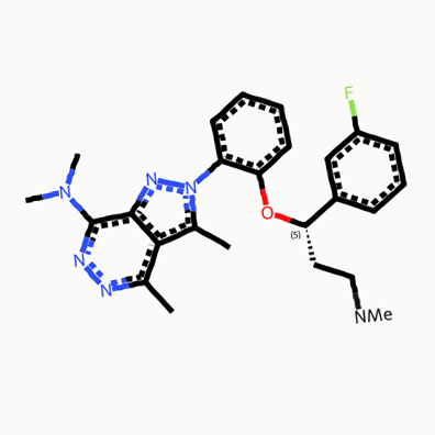 CNCC[C@H](Oc1ccccc1-n1nc2c(N(C)C)nnc(C)c2c1C)c1cccc(F)c1